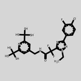 CCn1nc(-c2ccc(Cl)c(F)c2)nc1C(F)(F)C(=O)NCc1cc(C(S)(S)S)nc(C(S)(S)S)c1